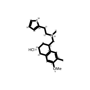 COc1cc2c(cc1C)C(CN(C)CCc1cccs1)CCC2.Cl